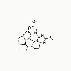 CCc1c(F)ccc2cc(OCOC)cc(C3OCCc4nc(SC)nc(N(C)C)c43)c12